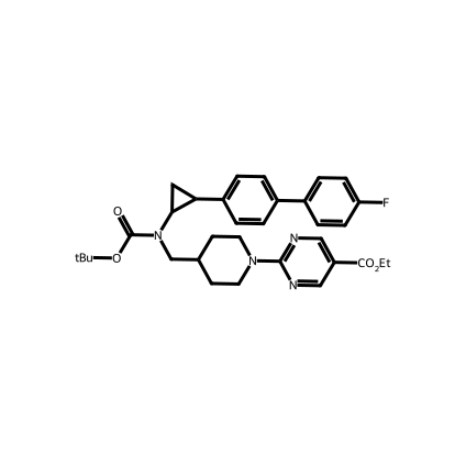 CCOC(=O)c1cnc(N2CCC(CN(C(=O)OC(C)(C)C)C3CC3c3ccc(-c4ccc(F)cc4)cc3)CC2)nc1